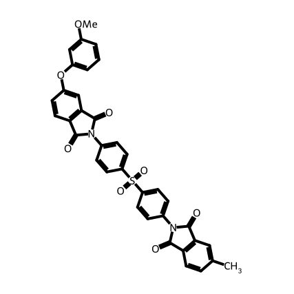 COc1cccc(Oc2ccc3c(c2)C(=O)N(c2ccc(S(=O)(=O)c4ccc(N5C(=O)c6ccc(C)cc6C5=O)cc4)cc2)C3=O)c1